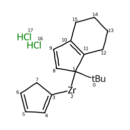 CC(C)(C)[C]1([Zr][C]2=CC=CC2)C=CC2=C1CCCC2.Cl.Cl